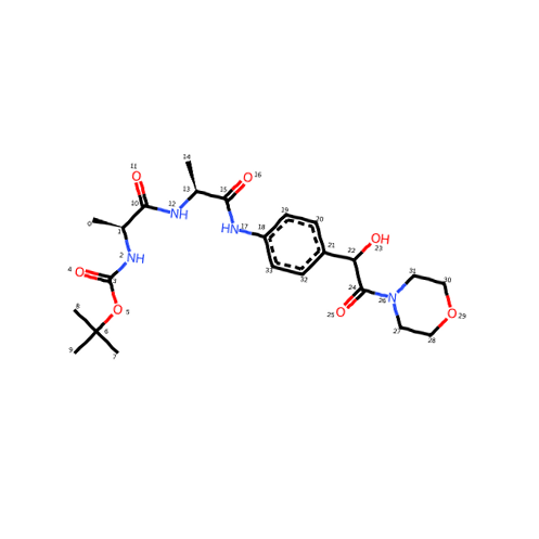 C[C@H](NC(=O)OC(C)(C)C)C(=O)N[C@@H](C)C(=O)Nc1ccc(C(O)C(=O)N2CCOCC2)cc1